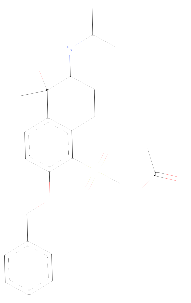 CC(=O)O.CC(C)NC1CCc2c(ccc(OCc3ccccc3)c2S(C)(=O)=O)C1(C)O